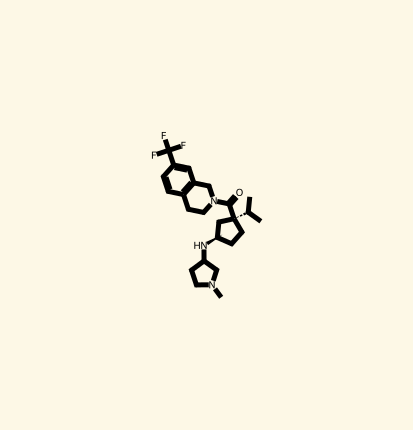 CC(C)[C@]1(C(=O)N2CCc3ccc(C(F)(F)F)cc3C2)CC[C@@H](NC2CCN(C)C2)C1